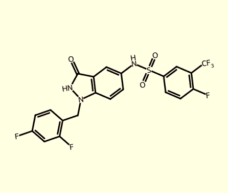 O=c1[nH]n(Cc2ccc(F)cc2F)c2ccc(NS(=O)(=O)c3ccc(F)c(C(F)(F)F)c3)cc12